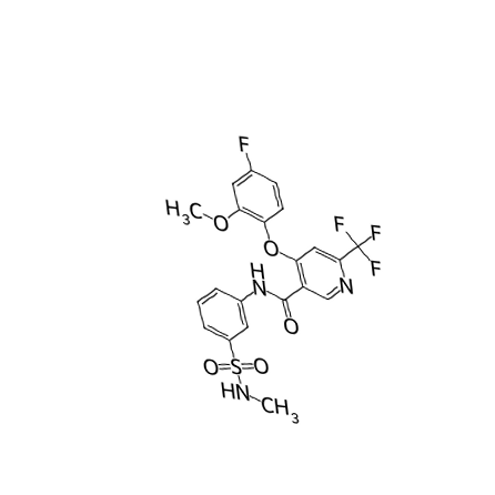 CNS(=O)(=O)c1cccc(NC(=O)c2cnc(C(F)(F)F)cc2Oc2ccc(F)cc2OC)c1